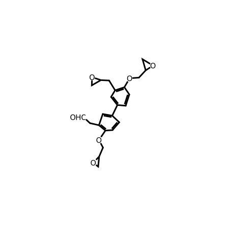 O=CCc1cc(-c2ccc(OCC3CO3)c(CC3CO3)c2)ccc1OCC1CO1